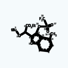 CCOC(=O)C(OC(C)(C)C)c1oc2cccc(C)c2c1OS(=O)(=O)C(F)(F)F